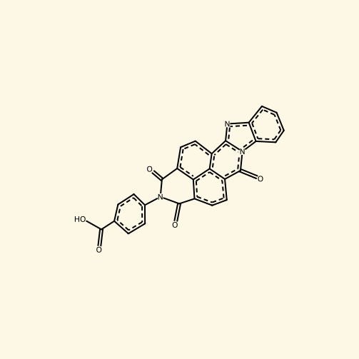 O=C(O)c1ccc(N2C(=O)c3ccc4c(=O)n5c6ccccc6nc5c5ccc(c3c45)C2=O)cc1